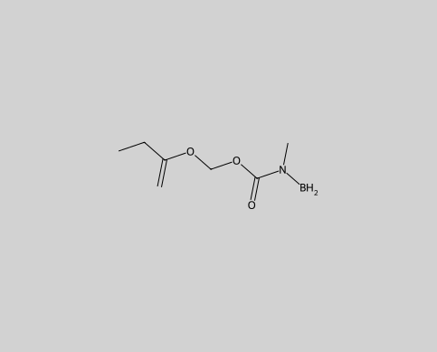 BN(C)C(=O)OCOC(=C)CC